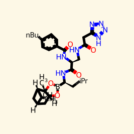 CCCCc1ccc(C(=O)N[C@@H](CNC(=O)Cc2nnn[nH]2)C(=O)N[C@@H](CC(C)C)B2O[C@@H]3C[C@@H]4C[C@@H](C4(C)C)[C@]3(C)O2)cc1